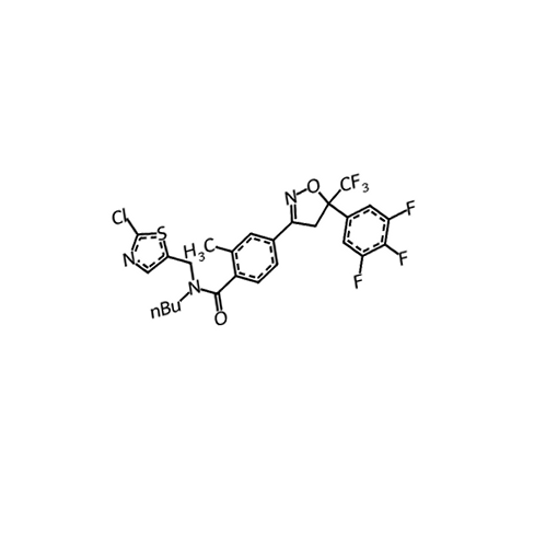 CCCCN(Cc1cnc(Cl)s1)C(=O)c1ccc(C2=NOC(c3cc(F)c(F)c(F)c3)(C(F)(F)F)C2)cc1C